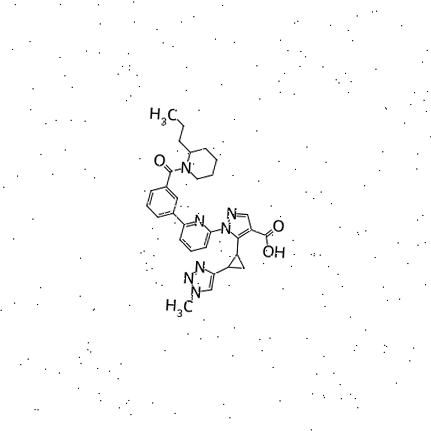 CCCC1CCCCN1C(=O)c1cccc(-c2cccc(-n3ncc(C(=O)O)c3C3CC3c3cn(C)nn3)n2)c1